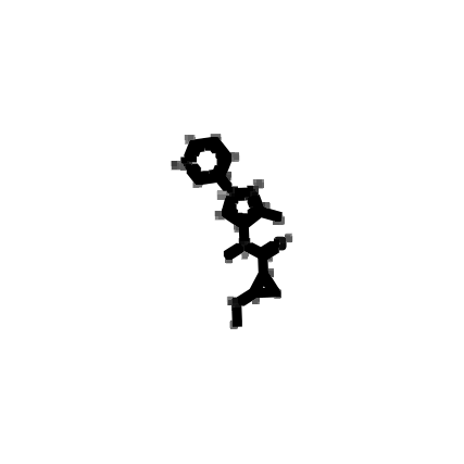 CSC1CC1C(=O)N(C)c1cn(-c2cccnc2)nc1C